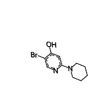 Oc1cc(N2CCCCC2)ncc1Br